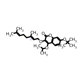 CC(C)=CCC/C(C)=C/COc1c(OC(C)C)c2ccc(OC(C)(C)C)cc2oc1=O